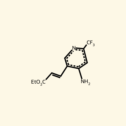 CCOC(=O)C=Cc1cnc(C(F)(F)F)cc1N